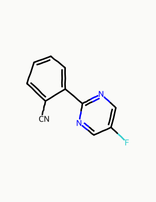 N#Cc1ccccc1-c1ncc(F)cn1